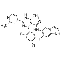 CC1=C(C(=O)Nc2cc3cn[nH]c3cc2F)C(c2ccc(Cl)cc2F)N=C(c2ccnc(C)c2)N1